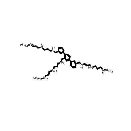 CCCCCCNCCCNCCCNCc1cccc(-c2ccc(-c3cccc(CNCCCNCCCNCCCCCC)c3)c(CNCCCNCCCNCCCCC)c2)c1